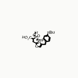 CCCCc1ccc(Cc2coc(CC(C(=O)O)P(=O)(OCC)OCCC)n2)cc1